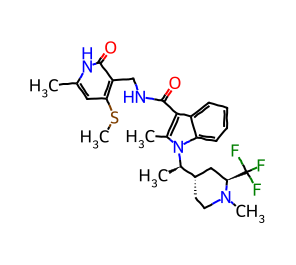 CSc1cc(C)[nH]c(=O)c1CNC(=O)c1c(C)n([C@H](C)[C@H]2CCN(C)[C@H](C(F)(F)F)C2)c2ccccc12